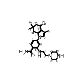 Cc1cn(-c2ccc(C(N)=O)c(NCCN3CCNCC3)c2)c2c1C(=O)CC(C)(C)C2